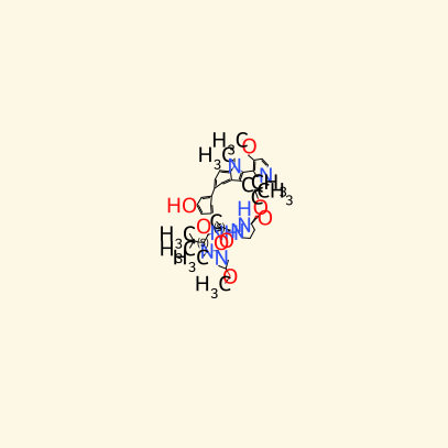 CCn1c(-c2cnccc2COC)c2c3cc(ccc31)-c1cc(O)cc(c1)C[C@H](NC(=O)[C@H](C(C)C)N(C)C(=O)N1CC(OC)C1)C(=O)N1CCCC(C=O)(COCC(C)(C)C2)N1